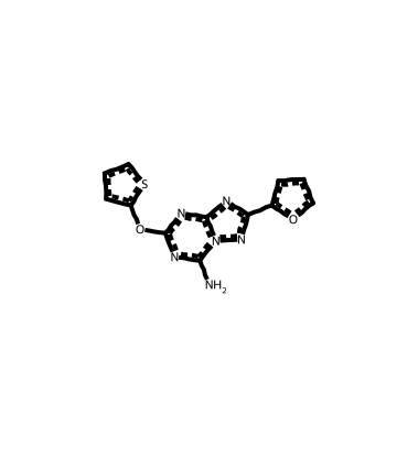 Nc1nc(Oc2cccs2)nc2nc(-c3ccco3)nn12